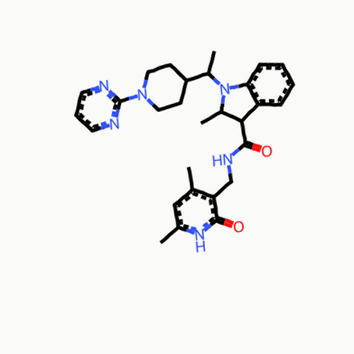 Cc1cc(C)c(CNC(=O)C2c3ccccc3N(C(C)C3CCN(c4ncccn4)CC3)C2C)c(=O)[nH]1